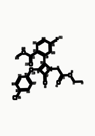 CCOC(=O)CN1C(=O)C(Oc2ccc(Cl)cc2)=C1c1cc(F)ccc1C(=O)OC